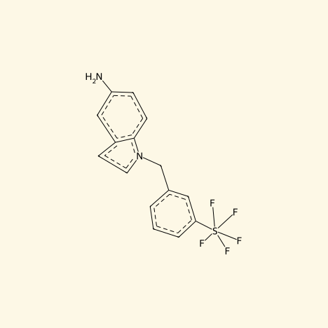 Nc1ccc2c(ccn2Cc2cccc(S(F)(F)(F)(F)F)c2)c1